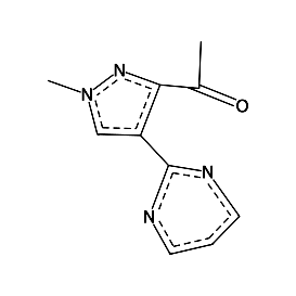 CC(=O)c1nn(C)cc1-c1ncccn1